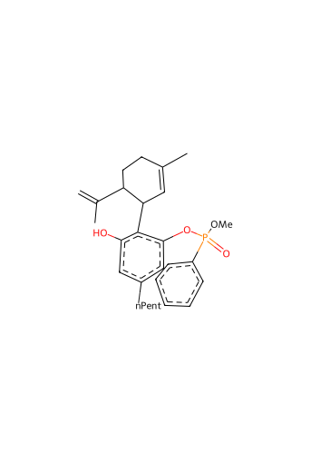 C=C(C)C1CCC(C)=CC1c1c(O)cc(CCCCC)cc1OP(=O)(OC)c1ccccc1